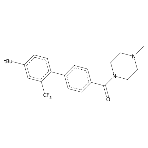 CN1CCN(C(=O)c2ccc(-c3ccc(C(C)(C)C)cc3C(F)(F)F)cc2)CC1